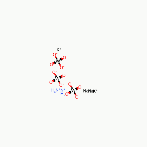 [K+].[K+].[NH4+].[NH4+].[Na+].[Na+].[O]=[W](=[O])([O-])[O-].[O]=[W](=[O])([O-])[O-].[O]=[W](=[O])([O-])[O-]